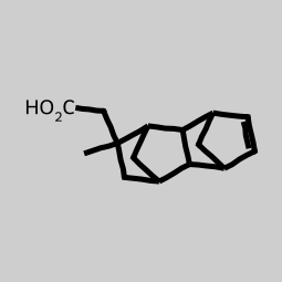 CC1(CC(=O)O)CC2CC1C1C3C=CC(C3)C21